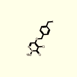 CC(C)(C)n1ncc(OCc2ccc(CI)cc2)c(Cl)c1=O